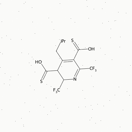 CC(C)CC1=C(C(O)=S)C(C(F)(F)F)=NC(C(F)(F)F)C1C(O)=S